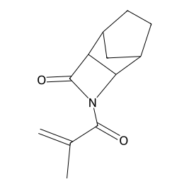 C=C(C)C(=O)N1C(=O)C2C3CCC(C3)C21